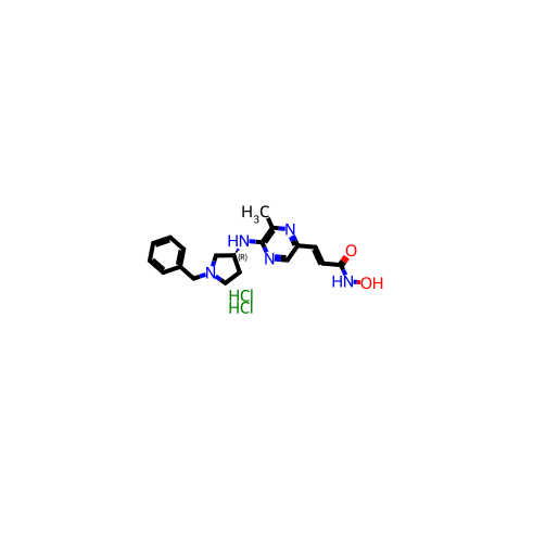 Cc1nc(C=CC(=O)NO)cnc1N[C@@H]1CCN(Cc2ccccc2)C1.Cl.Cl